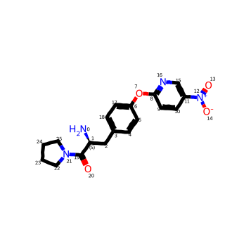 N[C@@H](Cc1ccc(Oc2ccc([N+](=O)[O-])cn2)cc1)C(=O)N1CCCC1